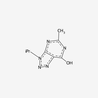 Cc1nc(O)c2nnn(C(C)C)c2n1